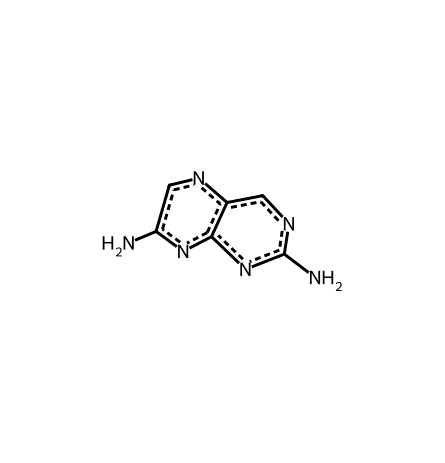 Nc1cnc2cnc(N)nc2n1